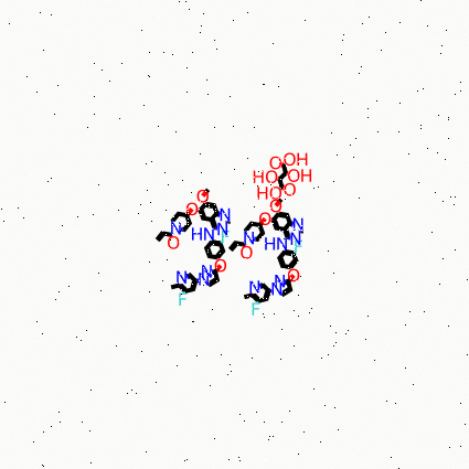 C=CC(=O)N1CCC(Oc2cc3c(Nc4ccc(Oc5ccn(-c6cnc(C)c(F)c6)n5)cc4F)ncnc3cc2OC)CC1.C=CC(=O)N1CCC(Oc2cc3c(Nc4ccc(Oc5ccn(-c6cnc(C)c(F)c6)n5)cc4F)ncnc3cc2OC)CC1.O=C(O)C(O)C(O)C(=O)O